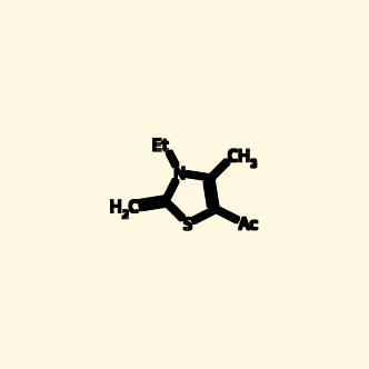 C=C1SC(C(C)=O)=C(C)N1CC